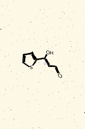 O=C/C=C(\O)c1cccs1